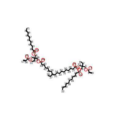 C=CC(=O)OCC(CC)(COC(=O)CCCCCCCCCC)COC(=O)CCCCCCCCCC(CC)CCCCCCC(=O)OCC(CC)(COC(=O)C=C)COC(=O)CCCCCCCCCC